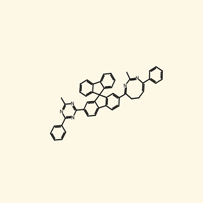 CC1=N/C(c2ccccc2)=C\CC/C(c2ccc3c(c2)C2(c4ccccc4-c4ccccc42)c2cc(-c4nc(C)nc(-c5ccccc5)n4)ccc2-3)=N\1